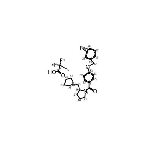 O=C(O)C(F)(F)F.O=C(c1ccc(OCc2cccc(F)c2)cc1)N1CCC[C@H]1CN1CCCC1